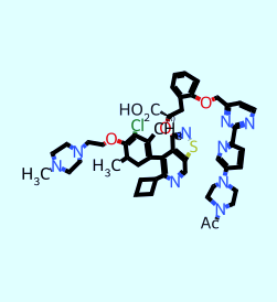 CC(=O)N1CCN(c2ccc(-c3nccc(COc4ccccc4C[C@@H](Oc4nsc5cnc(C6CCC6)c(C6=C(C)C(Cl)=C(OCCN7CCN(C)CC7)C(C)C6)c45)C(=O)O)n3)nc2)CC1